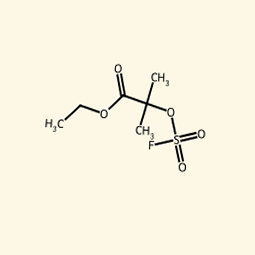 CCOC(=O)C(C)(C)OS(=O)(=O)F